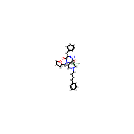 Cl.O=C1[C@@H](Cc2ccccc2)NC(=O)C2(CCN(CCCCc3ccccc3)CC2)N1CC1CCCO1